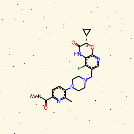 CNC(=O)c1ccc(N2CCN(Cc3cnc4c(c3F)NC(=O)[C@H](C3CC3)O4)CC2)c(C)n1